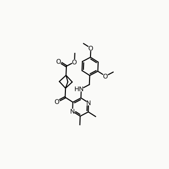 COC(=O)C12CC(C(=O)c3nc(C)c(C)nc3NCc3ccc(OC)cc3OC)(C1)C2